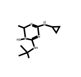 CC1N=C(NC2CC2)N=C(NC(C)(C)C)N1S